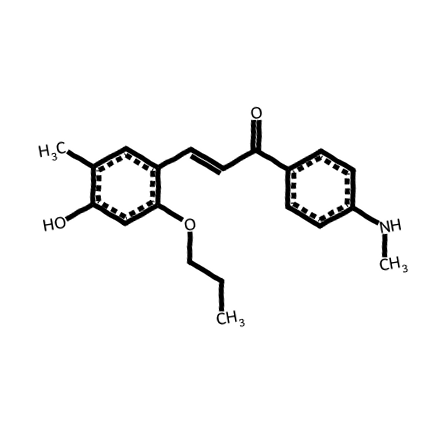 CCCOc1cc(O)c(C)cc1C=CC(=O)c1ccc(NC)cc1